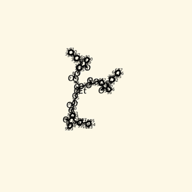 CCC(OCCOC(=O)COc1ccc2c(c1)c(=O)c1ccccc1[s+]2-c1ccc(-c2ccccc2)cc1)(OCCOC(=O)COc1ccc2c(c1)c(=O)c1ccccc1[s+]2-c1ccc(-c2ccccc2)cc1)OCOCCOC(=O)COc1ccc2c(c1)c(=O)c1ccccc1[s+]2-c1ccc(-c2ccccc2)cc1